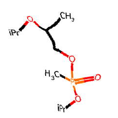 CC(C)OC(C)COP(C)(=O)OC(C)C